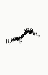 CC(C)(F)CN1CCC(CNc2ccc(-c3ccc(C(=O)N4CCC[C@@H](C(N)=O)C4)c(F)c3)cc2)CC1